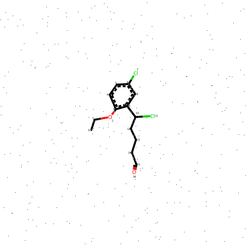 CCOc1ccc(Cl)cc1C(Cl)CCCC=O